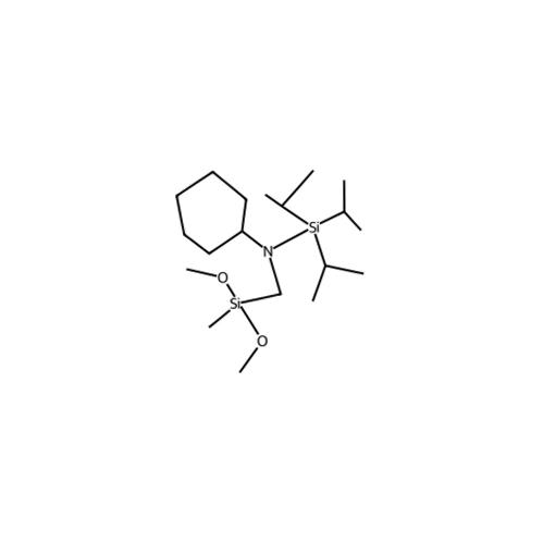 CO[Si](C)(CN(C1CCCCC1)[Si](C(C)C)(C(C)C)C(C)C)OC